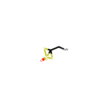 CCCCC12S[SH]1(=O)S2